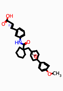 COc1ccc(C23CCC(CC4(C(=O)Nc5cccc(/C=C/C(=O)O)c5)CCCCC4)(CC2)CO3)cc1